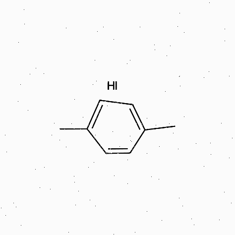 Cc1ccc(C)cc1.I